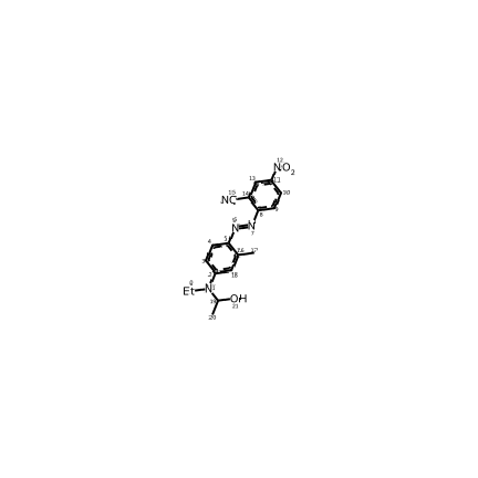 CCN(c1ccc(N=Nc2ccc([N+](=O)[O-])cc2C#N)c(C)c1)C(C)O